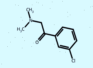 CN(C)CC(=O)c1cccc(Cl)c1